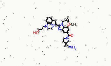 COc1cc(C(=O)N2CCC3(CC3N)C2)cc2nc(-c3cc4cccc5c4n3CCN5CCCO)n(CC3CC3)c12